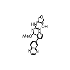 COc1nc(N[C@@H]2COC[C@H]2O)nn2ccc(-c3ccc4nccnc4c3)c12